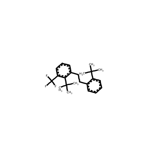 CC(C)(C)c1ccccc1CCc1cccc(C(F)(F)F)c1C(C)(C)C